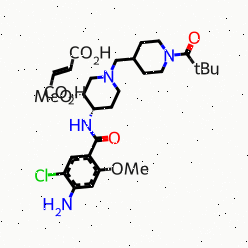 COc1cc(N)c(Cl)cc1C(=O)N[C@H]1CCN(CC2CCN(C(=O)C(C)(C)C)CC2)C[C@H]1OC.O=C(O)C=CC(=O)O